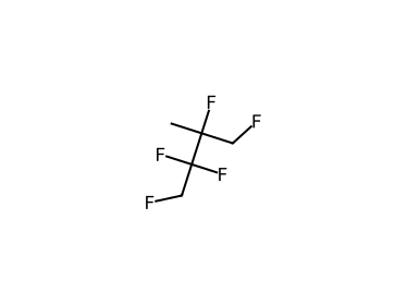 CC(F)(CF)C(F)(F)CF